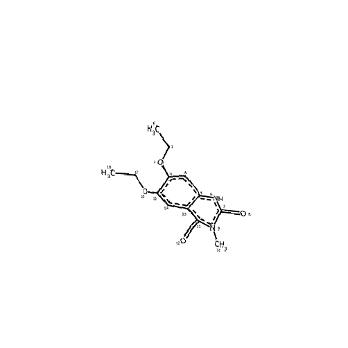 CCOc1cc2[nH]c(=O)n(C)c(=O)c2cc1OCC